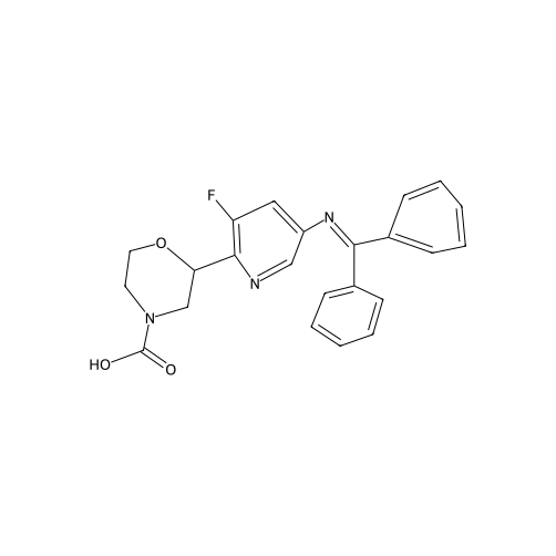 O=C(O)N1CCOC(c2ncc(N=C(c3ccccc3)c3ccccc3)cc2F)C1